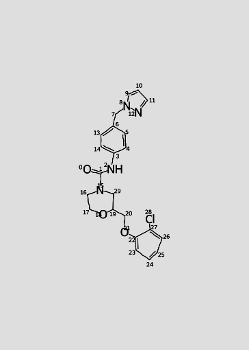 O=C(Nc1ccc(Cn2cccn2)cc1)N1CCOC(COc2ccccc2Cl)C1